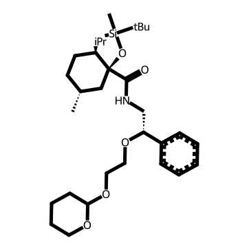 CC(C)[C@@H]1CC[C@@H](C)C[C@@]1(O[Si](C)(C)C(C)(C)C)C(=O)NC[C@@H](OCCOC1CCCCO1)c1ccccc1